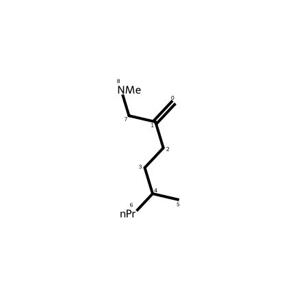 C=C(CCC(C)CCC)CNC